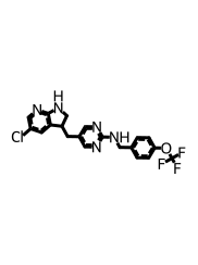 FC(F)(F)Oc1ccc(CNc2ncc(CC3CNc4ncc(Cl)cc43)cn2)cc1